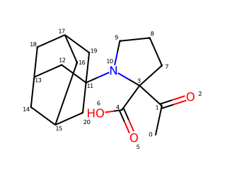 CC(=O)C1(C(=O)O)CCCN1C12CC3CC(CC(C3)C1)C2